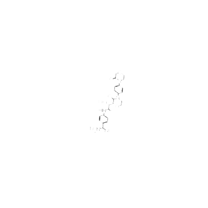 N=C(N)c1ccc(NC(=O)[C@H](O)[C@H]2OCCN(c3ccc(N4CCOCC4=O)cc3)C2=O)cc1